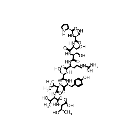 CC(C)[C@H](NC(=O)[C@H](Cc1ccc(O)cc1)NC(=O)[C@H](CO)NC(=O)[C@H](CCCNC(=N)N)NC(=O)[C@H](CO)NC(=O)[C@H](CO)NC(=O)[C@H](CO)NC(=O)[C@@H]1CCCN1)C(=O)N[C@H](C(=O)N[C@H](C(=O)O)[C@@H](C)O)[C@@H](C)O